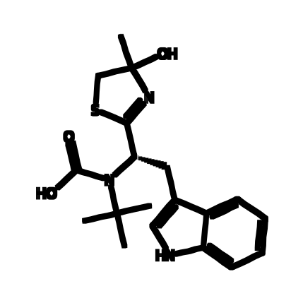 CC1(O)CSC([C@H](Cc2c[nH]c3ccccc23)N(C(=O)O)C(C)(C)C)=N1